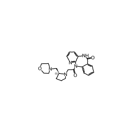 O=C1Nc2cccnc2N(C(=O)CN2CCC[C@H]2CN2CCOCC2)c2ccccc21